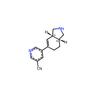 N#Cc1cncc(C2=C[C@@H]3CNC[C@@H]3CC2)c1